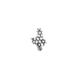 N#CN1CCC2(CC2)C1C(=O)N(c1ccc(S(F)(F)(F)(F)F)cc1)C(C(=O)NC1CCC(F)(F)CC1)c1cncc(F)c1